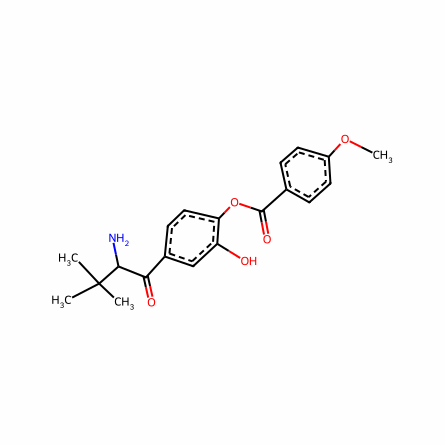 COc1ccc(C(=O)Oc2ccc(C(=O)C(N)C(C)(C)C)cc2O)cc1